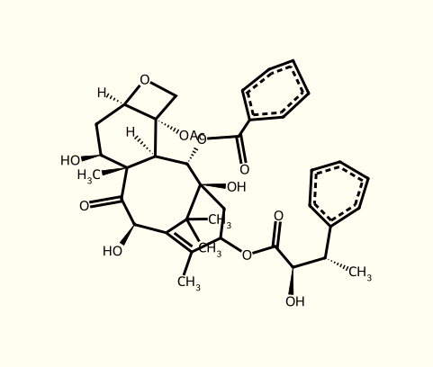 CC(=O)O[C@@]12CO[C@@H]1C[C@H](O)[C@@]1(C)C(=O)[C@H](O)C3=C(C)C(OC(=O)[C@H](O)[C@@H](C)c4ccccc4)C[C@@](O)([C@@H](OC(=O)c4ccccc4)[C@H]21)C3(C)C